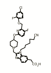 N#CCCCCCCn1c(CN2CCC(Oc3ccc(F)c(COc4ccc(Cl)cc4F)n3)CC2)nc2ccc(CC(=O)O)cc21